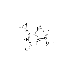 COC(=O)c1cc(Cl)nc(C2CC2)c1N